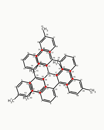 Cc1cccc(-c2cccc(-c3cccc(C)c3)c2[S][Bi]([S]c2c(-c3cccc(C)c3)cccc2-c2cccc(C)c2)[S]c2c(-c3cccc(C)c3)cccc2-c2cccc(C)c2)c1